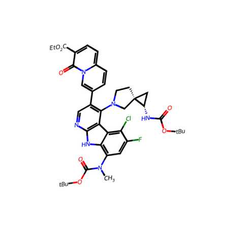 CCOC(=O)c1ccc2ccc(-c3cnc4[nH]c5c(N(C)C(=O)OC(C)(C)C)cc(F)c(Cl)c5c4c3N3CC[C@@]4(C[C@@H]4NC(=O)OC(C)(C)C)C3)cn2c1=O